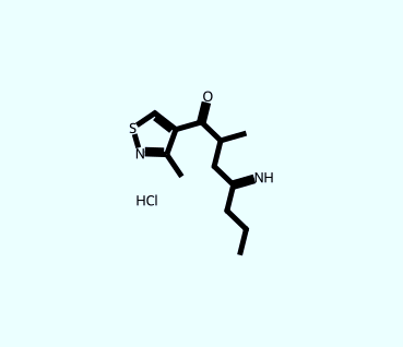 CCCC(=N)CC(C)C(=O)c1csnc1C.Cl